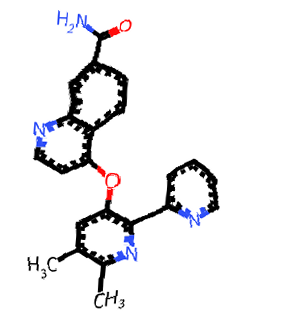 Cc1cc(Oc2ccnc3cc(C(N)=O)ccc23)c(-c2ccccn2)nc1C